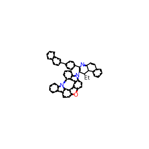 CCC1C(n2c3ccc4oc5ccc6c7ccccc7n7c8cccc2c8c3c4c5c67)=C(c2ccc(-c3ccc4ccccc4c3)cc2)N=C2C=Cc3ccccc3C21